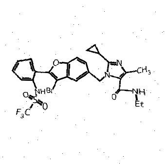 CCNC(=O)c1c(C)nc(C2CC2)n1Cc1ccc2oc(-c3ccccc3NS(=O)(=O)C(F)(F)F)c(Br)c2c1